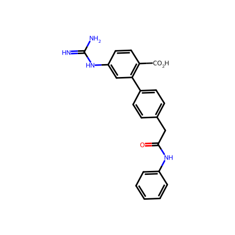 N=C(N)Nc1ccc(C(=O)O)c(-c2ccc(CC(=O)Nc3ccccc3)cc2)c1